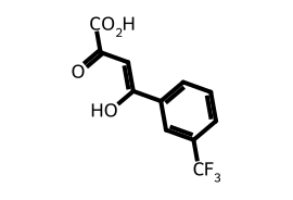 O=C(O)C(=O)/C=C(\O)c1cccc(C(F)(F)F)c1